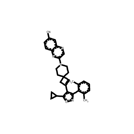 Cc1cccc(C)c1-c1noc(C2CC2)c1C1=CC2(CCN(c3cnc4cc(C#N)ccc4n3)CC2)C1